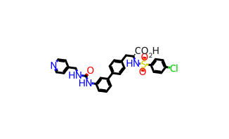 O=C(NCc1ccncc1)Nc1cccc(-c2ccc(C[C@@H](NS(=O)(=O)c3ccc(Cl)cc3)C(=O)O)cc2)c1